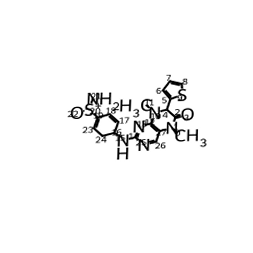 CN1C(=O)C(c2cccs2)N(C)c2nc(NC3C=CC([S+](N)[O-])=CC3)ncc21